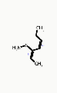 C/C=C(\C=C/CC)SN